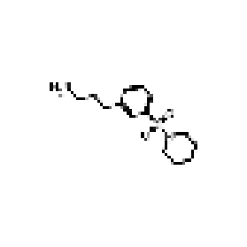 NCCCc1cccc(S(=O)(=O)N2CCCCC2)c1